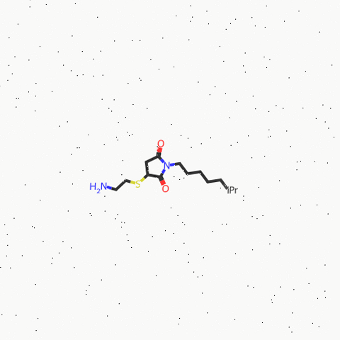 CC(C)CCCCCN1C(=O)CC(SCCN)C1=O